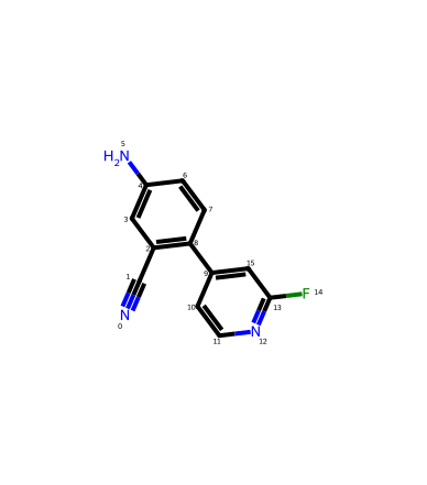 N#Cc1cc(N)ccc1-c1ccnc(F)c1